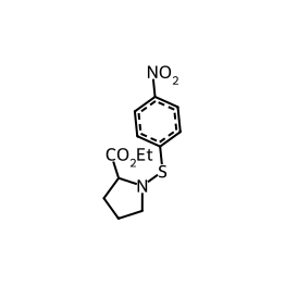 CCOC(=O)C1CCCN1Sc1ccc([N+](=O)[O-])cc1